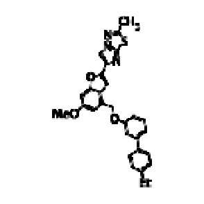 CCc1ccc(-c2cccc(OCc3cc(OC)cc4oc(-c5cn6nc(C)sc6n5)cc34)c2)cc1